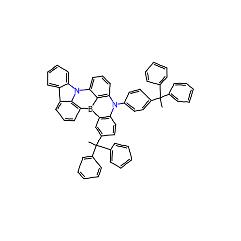 CC(c1ccccc1)(c1ccccc1)c1ccc(N2c3ccc(C(C)(c4ccccc4)c4ccccc4)cc3B3c4c2cccc4-n2c4ccccc4c4cccc3c42)cc1